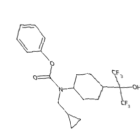 O=C(Oc1ccccc1)N(CC1CC1)C1CCC(C(O)(C(F)(F)F)C(F)(F)F)CC1